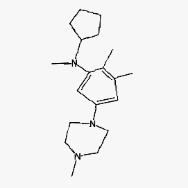 Cc1cc(N2CCN(C)CC2)cc(N(C)C2CCCC2)c1C